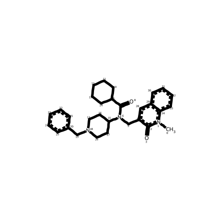 Cn1c(=O)c(CN(C(=O)C2CCCCC2)C2CCN(Cc3ccccc3)CC2)cc2ccccc21